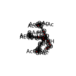 CC(=O)NC1C(OCCCCCC(=O)NCCCNC(=O)C(CCCCNC(=O)CCCC(=O)OCc2ccccc2)N(CC(=O)NCCCNC(=O)CCCCCOC2OC(COC(C)=O)C(OC(C)=O)C(OC(C)=O)C2NOC(C)=O)CC(=O)NCCCNC(=O)CCCCCOC2OCC(CCOC(C)=O)(OC(C)=O)C(OC(C)=O)C2NC(C)=O)OC(COC(C)=O)C(OC(C)=O)C1OC(C)=O